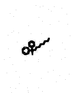 CCCCCCCCS(I)(C1=CC=CC=CC1)c1ccccc1